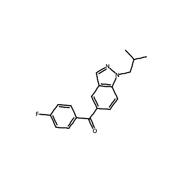 CC(C)Cn1ncc2cc(C(=O)c3ccc(F)cc3)ccc21